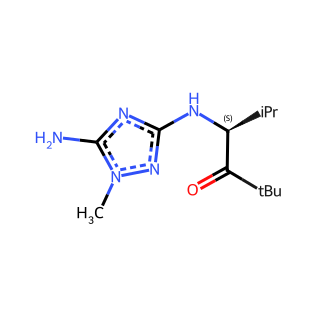 CC(C)[C@H](Nc1nc(N)n(C)n1)C(=O)C(C)(C)C